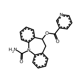 NC(=O)N1c2ccccc2CC(OC(=O)c2cccnc2)c2ccccc21